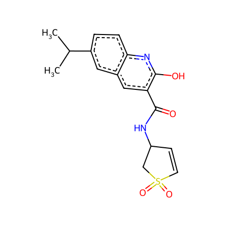 CC(C)c1ccc2nc(O)c(C(=O)NC3C=CS(=O)(=O)C3)cc2c1